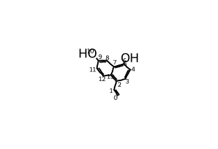 C=Cc1ccc(O)c2cc(O)ccc12